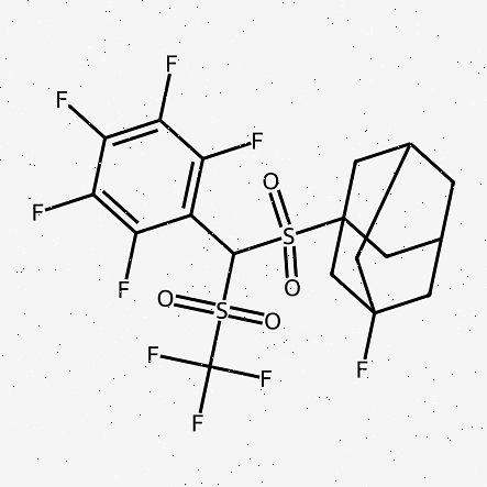 O=S(=O)(C(c1c(F)c(F)c(F)c(F)c1F)S(=O)(=O)C12CC3CC(CC(F)(C3)C1)C2)C(F)(F)F